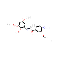 CCOc1cc(C(=O)/C(C)=C/c2cc(OC)cc(OC)c2OC)ccc1N